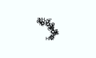 CNC(=O)c1cc(Oc2ccc(N3C(=O)CN(c4ccc(CN5CCNCC5)c(C(F)(F)F)c4)C3=O)cc2C(C)C)ccn1